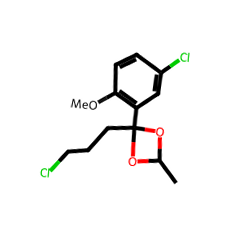 COc1ccc(Cl)cc1C1(CCCCl)OC(C)O1